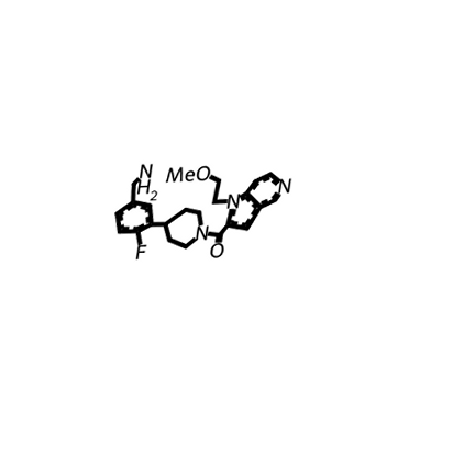 COCCn1c(C(=O)N2CCC(c3cc(CN)ccc3F)CC2)cc2cnccc21